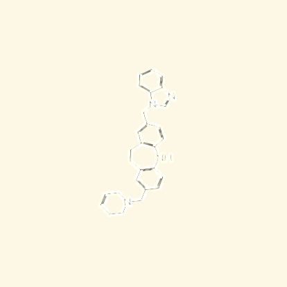 C1=CCN(Cc2ccc3c(c2)CCc2cc(Cn4cnc5ccccc54)ccc2N3)CC1